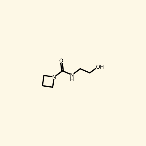 O=C(NCCO)N1CCC1